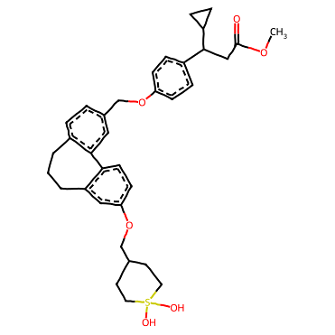 COC(=O)CC(c1ccc(OCc2ccc3c(c2)-c2ccc(OCC4CCS(O)(O)CC4)cc2CCC3)cc1)C1CC1